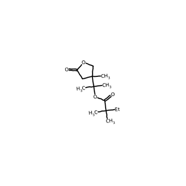 CCC(C)(C)C(=O)OC(C)(C)C1(C)COC(=O)C1